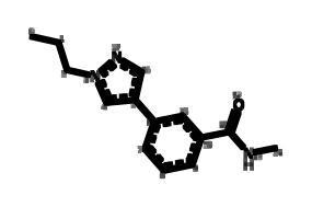 CCCn1cc(-c2cccc(C(=O)NC)c2)cn1